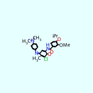 COc1cc(C(=O)NC2=C/C(=N\c3ccc(N(C)C)cc3)C(C)=C(Cl)C2=O)ccc1OC(C)C